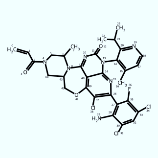 C=CC(=O)N1CC(C)N2c3nc(=O)n(-c4c(C)ccnc4C(C)C)c4nc(-c5c(N)c(Cl)cc(Cl)c5F)c(Cl)c(c34)OCC2C1